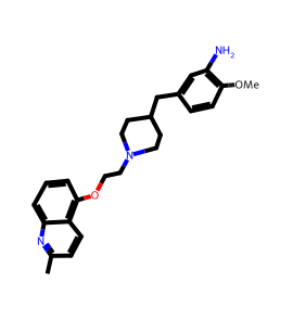 COc1ccc(CC2CCN(CCOc3cccc4nc(C)ccc34)CC2)cc1N